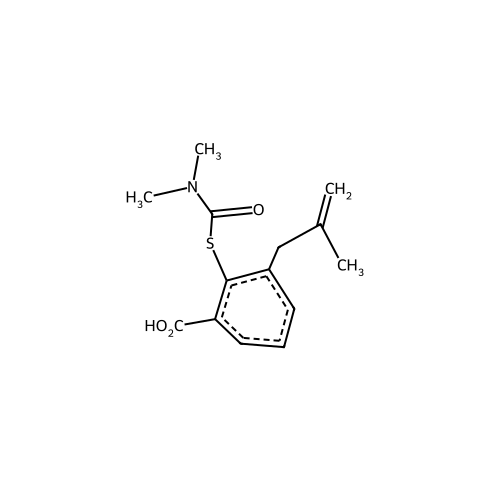 C=C(C)Cc1cccc(C(=O)O)c1SC(=O)N(C)C